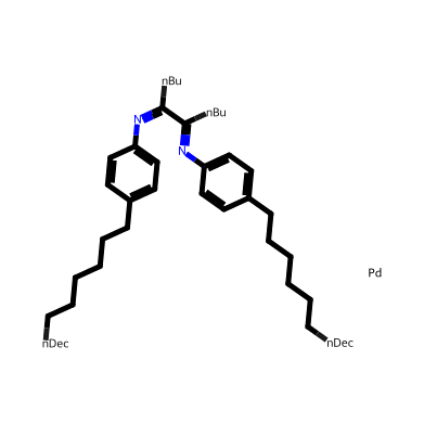 CCCCCCCCCCCCCCCCc1ccc(N=C(CCCC)C(CCCC)=Nc2ccc(CCCCCCCCCCCCCCCC)cc2)cc1.[Pd]